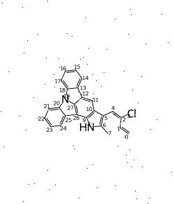 C=C/C(Cl)=C\c1c(C)[nH]c2c1cc1c3ccccc3n3c4ccccc4c2c13